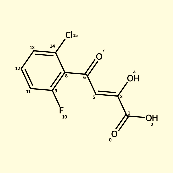 O=C(O)/C(O)=C/C(=O)c1c(F)cccc1Cl